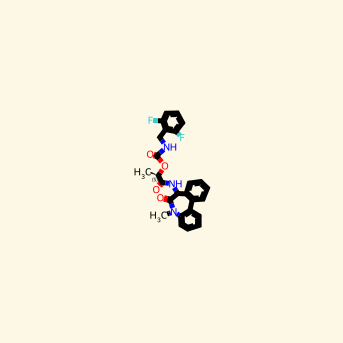 C[C@H](OC(=O)NCc1c(F)cccc1F)C(=O)NC1C(=O)N(C)c2ccccc2-c2ccccc21